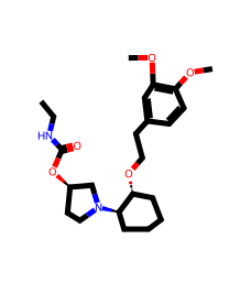 CCNC(=O)O[C@@H]1CCN([C@@H]2CCCC[C@H]2OCCc2ccc(OC)c(OC)c2)C1